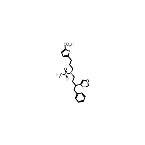 CS(=O)(=O)N(CCCc1ccc(C(=O)O)s1)CCC(Cc1ccccc1)C1=COCO1